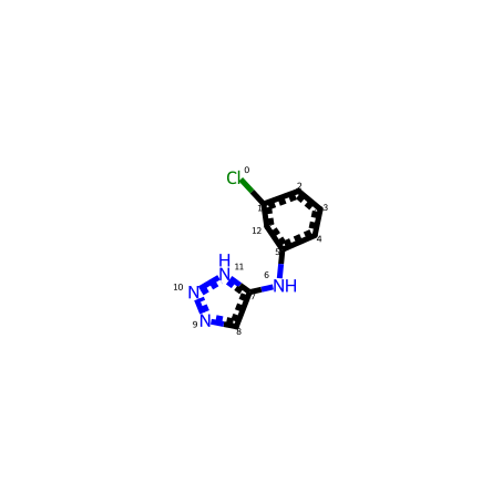 Clc1cccc(Nc2cnn[nH]2)c1